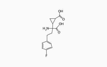 NC(CCc1ccc(F)cc1)(C(=O)O)C1CC1C(=O)O